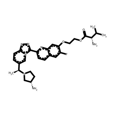 CC(C)[C@H](N)C(=O)OCCOc1cc2nc(-c3nnc4ccc([C@H](C)N5CC[C@H](N)C5)cn34)ccc2cc1F